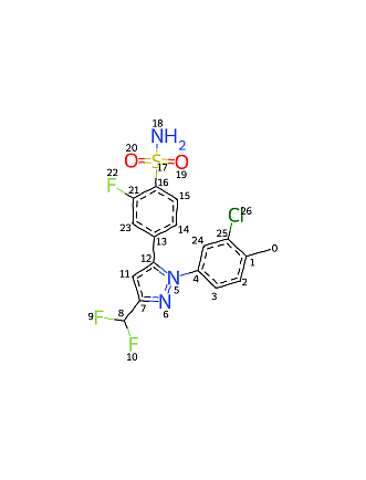 Cc1ccc(-n2nc(C(F)F)cc2-c2ccc(S(N)(=O)=O)c(F)c2)cc1Cl